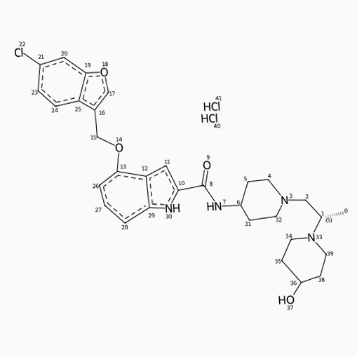 C[C@@H](CN1CCC(NC(=O)c2cc3c(OCc4coc5cc(Cl)ccc45)cccc3[nH]2)CC1)N1CCC(O)CC1.Cl.Cl